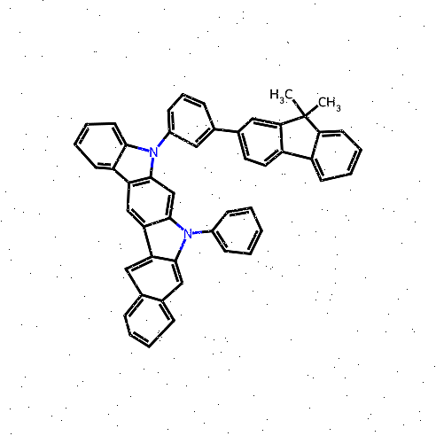 CC1(C)c2ccccc2-c2ccc(-c3cccc(-n4c5ccccc5c5cc6c7cc8ccccc8cc7n(-c7ccccc7)c6cc54)c3)cc21